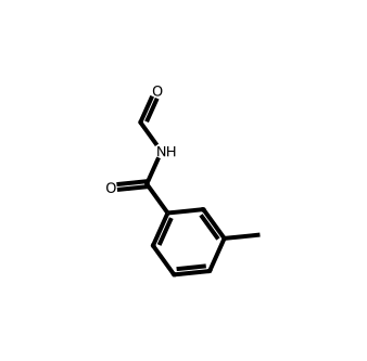 Cc1cccc(C(=O)NC=O)c1